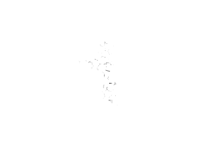 NC(=O)c1ccc(C(=O)N(c2ccc(N)cc2)c2ccc(C(=O)Nc3ccc(N)cc3)cc2)cc1